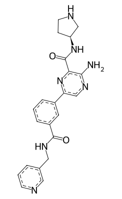 Nc1ncc(-c2cccc(C(=O)NCc3cccnc3)c2)nc1C(=O)N[C@H]1CCNC1